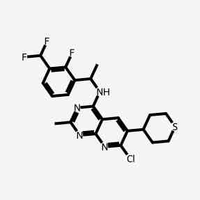 Cc1nc(NC(C)c2cccc(C(F)F)c2F)c2cc(C3CCSCC3)c(Cl)nc2n1